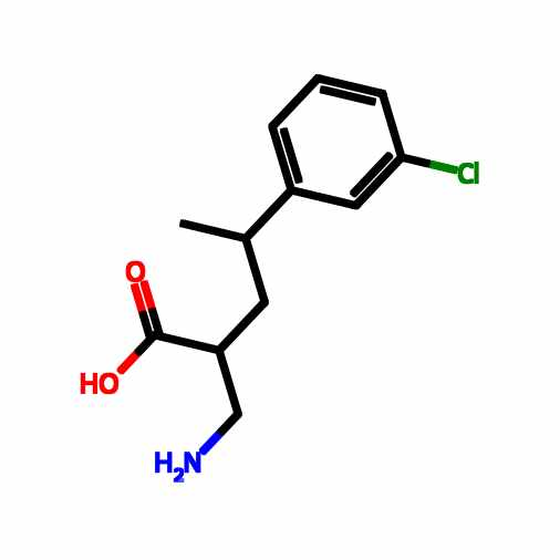 CC(CC(CN)C(=O)O)c1cccc(Cl)c1